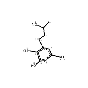 CC(O)CNc1nc(N)nc(O)c1[N+](=O)[O-]